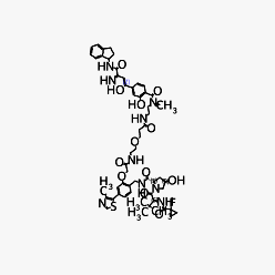 Cc1ncsc1-c1ccc(CNC(=O)[C@@H]2C[C@@H](O)CN2C(=O)[C@@H](NC(=O)C2(F)CC2)C(C)(C)C)c(OCC(=O)NCCOCCC(=O)NCCN(C)C(=O)c2ccc(/C(O)=C/C(=N)C(=O)NC3CCc4ccccc43)cc2O)c1